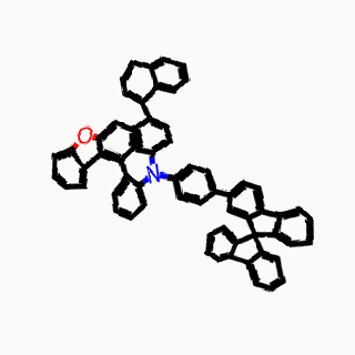 c1ccc(N(c2ccc(-c3ccc4c(c3)C3(c5ccccc5-c5ccccc53)c3ccccc3-4)cc2)c2ccc(-c3cccc4ccccc34)cc2)c(-c2cccc3oc4ccccc4c23)c1